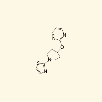 c1cnc(OC2CCN(c3nccs3)CC2)nc1